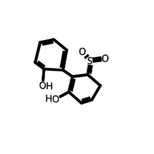 O=S(=O)=C1CC=CC(O)=C1c1ccccc1O